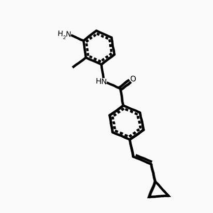 Cc1c(N)cccc1NC(=O)c1ccc(/C=C/C2CC2)cc1